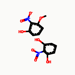 COc1cccc(O)c1[N+](=O)[O-].O=[N+]([O-])c1c(O)cccc1O